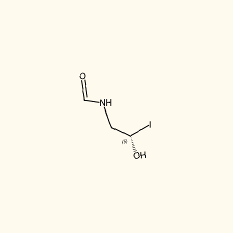 O=CNC[C@@H](O)I